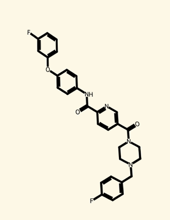 O=C(Nc1ccc(Oc2cccc(F)c2)cc1)c1ccc(C(=O)N2CCN(Cc3ccc(F)cc3)CC2)cn1